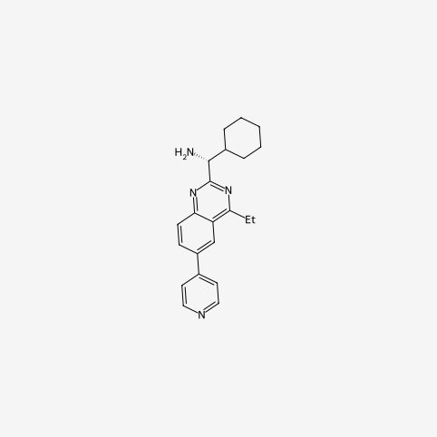 CCc1nc([C@H](N)C2CCCCC2)nc2ccc(-c3ccncc3)cc12